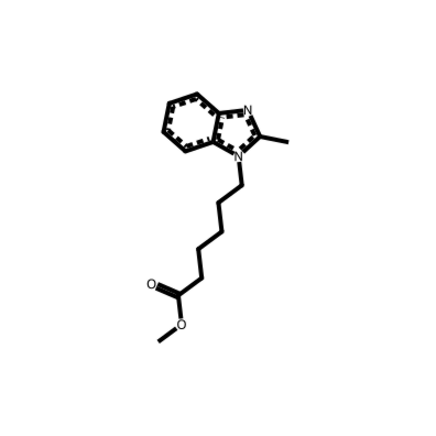 COC(=O)CCCCCn1c(C)nc2ccccc21